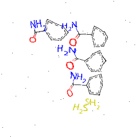 NC(=O)c1ccccc1.NC(=O)c1ccccc1.NC(=O)c1ccccc1.NC(=O)c1ccccc1.S.S